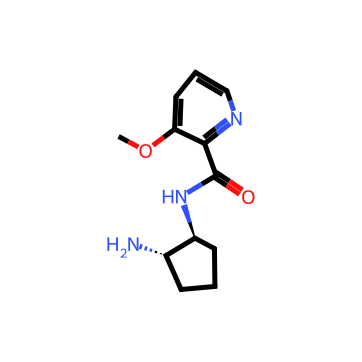 COc1cccnc1C(=O)N[C@H]1CCC[C@@H]1N